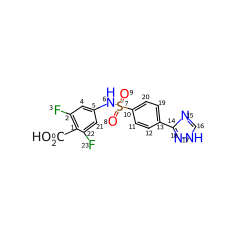 O=C(O)c1c(F)cc(NS(=O)(=O)c2ccc(-c3nc[nH]n3)cc2)cc1F